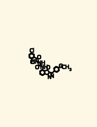 COc1ccc(C2=C3C(=O)c4c(NC(=O)NNC(=O)c5cc(Cl)ccc5Cl)cccc4C3N=N2)cc1